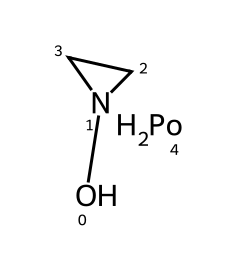 ON1CC1.[PoH2]